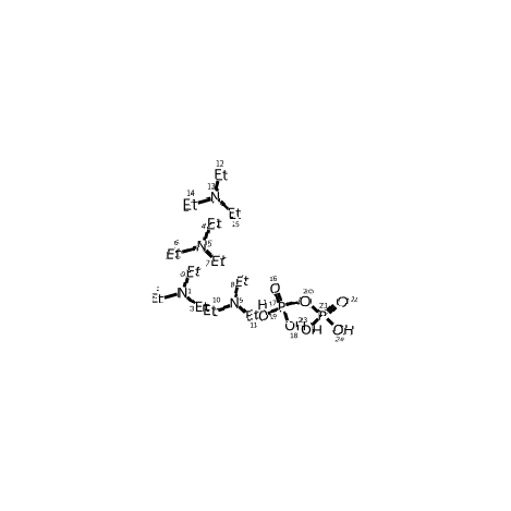 CCN(CC)CC.CCN(CC)CC.CCN(CC)CC.CCN(CC)CC.O=P(O)(O)OP(=O)(O)O